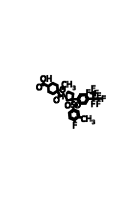 COC1(C(=O)N2CCC(c3ccc(C(F)(C(F)(F)F)C(F)(F)F)cc3)(S(=O)(=O)c3ccc(F)c(C)c3)C2)CCC(C(=O)O)CC1